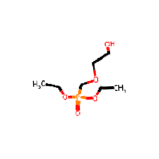 CCOP(=O)(COCCO)OCC